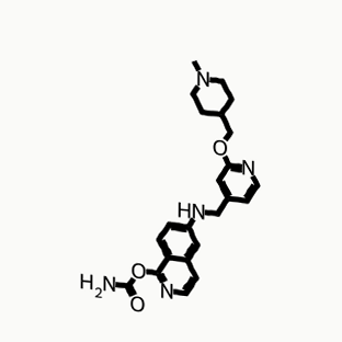 CN1CCC(COc2cc(CNc3ccc4c(OC(N)=O)nccc4c3)ccn2)CC1